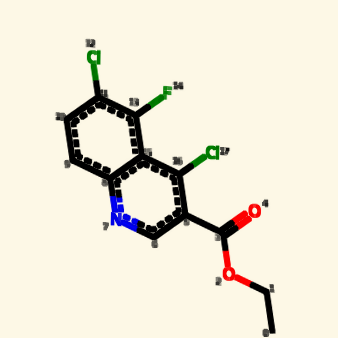 CCOC(=O)c1cnc2ccc(Cl)c(F)c2c1Cl